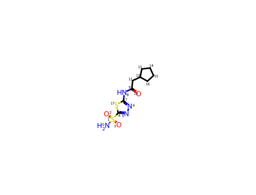 NS(=O)(=O)c1nnc(NC(=O)CC2CCCC2)s1